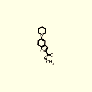 COC(=O)c1cc2cc(N3CCCCC3)ccc2o1